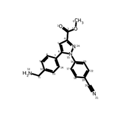 COC(=O)c1cc(-c2ccc(CN)cc2)n(-c2ccc(C#N)cc2)n1